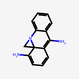 NC1=CC=CC2=C(N)c3ccccc3N3CC123